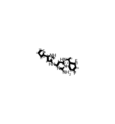 CC(Nc1cc(Nc2cc(-c3cccs3)[nH]n2)nc(N)n1)c1ccc(F)cc1F